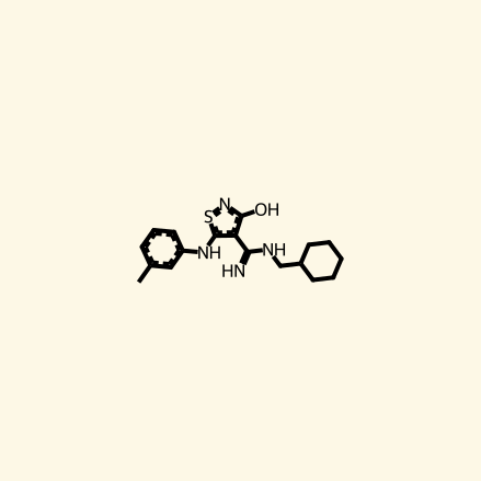 Cc1cccc(Nc2snc(O)c2C(=N)NCC2CCCCC2)c1